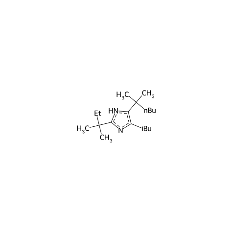 CCCCC(C)(C)c1[nH]c(C(C)(C)CC)nc1C(C)CC